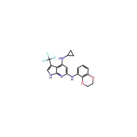 FC(F)(F)c1c[nH]c2nc(Nc3cc[c]c4c3OCCO4)cc(NC3CC3)c12